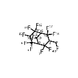 FCC1C(F)(F)C2C(F)(F)C(F)C(F)(F)C(C1(F)F)C2(F)F